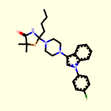 CCCCC1(N2CCN(c3cn(-c4ccc(F)cc4)c4ccccc34)CC2)NC(=O)C(C)(C)S1